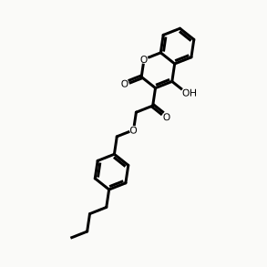 CCCCc1ccc(COCC(=O)c2c(O)c3ccccc3oc2=O)cc1